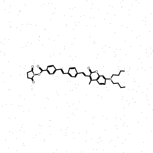 CCCCN(CCCC)c1ccc2c(C)c(/C=C/c3ccc(/C=C/c4ccc(C(=O)ON5C(=O)CCC5=O)cc4)cc3)c(=O)oc2c1